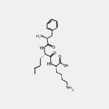 CCCC[C@H](NC(=O)[C@@H](N)Cc1ccccc1)C(=O)N[C@H](CCCCN)C(=O)O